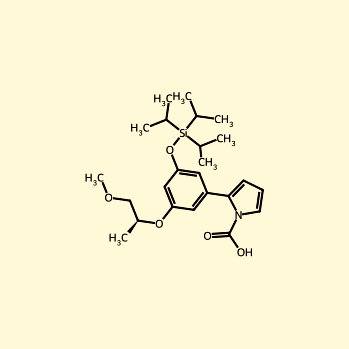 COC[C@H](C)Oc1cc(O[Si](C(C)C)(C(C)C)C(C)C)cc(-c2cccn2C(=O)O)c1